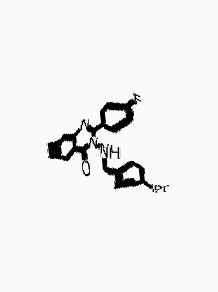 CC(C)c1ccc(CNn2c(-c3ccc(F)cc3)nc3ccccc3c2=O)cc1